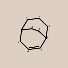 C1=C[C]2CCCC(C1)CC2